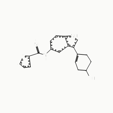 CC1CC=C(c2c[nH]c3ccc(NC(=N)c4cccs4)cc23)CC1